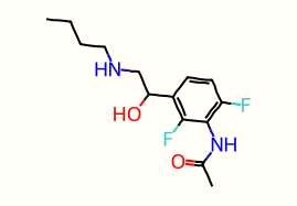 CCCCNCC(O)c1ccc(F)c(NC(C)=O)c1F